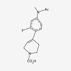 CC(=O)N(C)c1ccc(C2=CCN(C(=O)O)CC2)c(F)c1